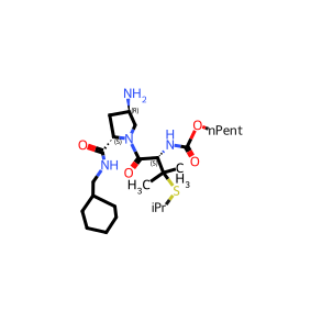 CCCCCOC(=O)N[C@@H](C(=O)N1C[C@H](N)C[C@H]1C(=O)NCC1CCCCC1)C(C)(C)SC(C)C